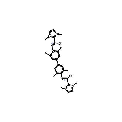 Cc1cc(-c2cc(C)c(/N=C(\[O-])c3n(C)cc[n+]3C)c(C)c2)cc(C)c1/N=C(\[O-])c1n(C)cc[n+]1C